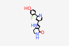 O=C1NCCc2[nH]c(-c3ccnc(-c4ccc(O)cc4F)c3)cc21